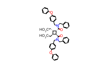 O=C(O)C[C@H]1[C@H](CC(=O)O)[C@H](C(=O)N(Cc2ccccc2)Cc2ccc(Oc3ccccc3)cc2)[C@H]1C(=O)N(Cc1ccccc1)Cc1ccc(Oc2ccccc2)cc1